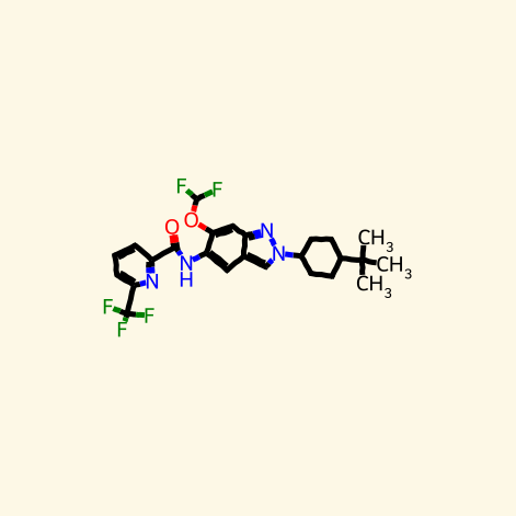 CC(C)(C)C1CCC(n2cc3cc(NC(=O)c4cccc(C(F)(F)F)n4)c(OC(F)F)cc3n2)CC1